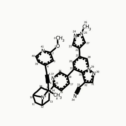 COc1cc(C#CC(C)N2C3CC2CN(c2ccc(-c4cc(-c5cnn(C)c5)cn5ncc(C#N)c45)cn2)C3)ccn1